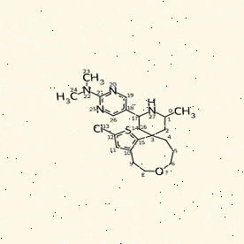 CC1CC2(CCCOCCc3cc(Cl)sc32)CC(c2cnc(N(C)C)nc2)N1